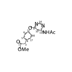 COC(=O)Cc1ccc(Oc2cc(NC(C)=O)ncn2)cc1